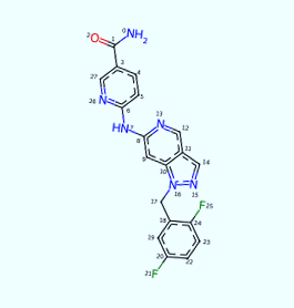 NC(=O)c1ccc(Nc2cc3c(cn2)cnn3Cc2cc(F)ccc2F)nc1